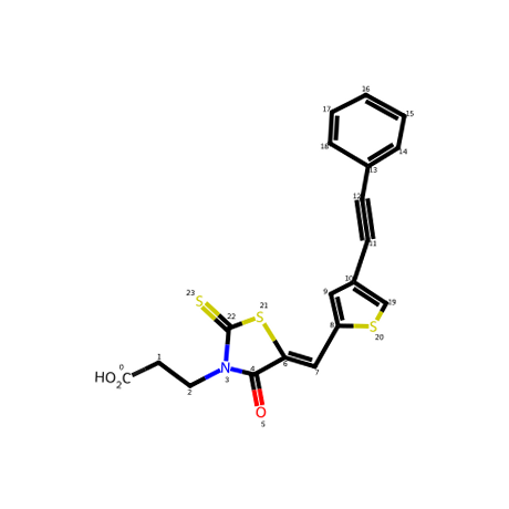 O=C(O)CCN1C(=O)C(=Cc2cc(C#Cc3ccccc3)cs2)SC1=S